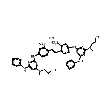 CN(CCO)c1nc(Nc2ccccc2)nc(Nc2ccc(C=Cc3ccc(Nc4nc(Nc5ccccc5)nc(N(C)CCO)n4)cc3S(=O)(=O)O)c(S(=O)(=O)O)c2)n1.[NaH]